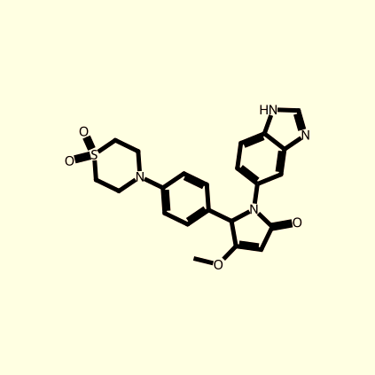 COC1=CC(=O)N(c2ccc3[nH]cnc3c2)C1c1ccc(N2CCS(=O)(=O)CC2)cc1